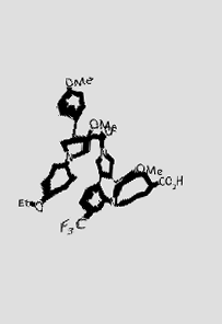 CCOC1CCC(N2C[C@@H](c3ccc(OC)cc3)[C@](OC)(C(=O)N3C[C@H](COC)[C@@H](c4ccc(C(F)(F)F)cc4N4CCC(C(=O)O)CC4)C3)C2)CC1